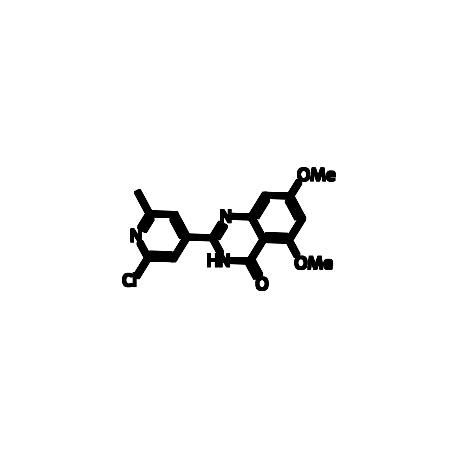 COc1cc(OC)c2c(=O)[nH]c(-c3cc(C)nc(Cl)c3)nc2c1